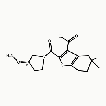 CC1(C)CCc2sc(C(=O)N3CC[C@@H](ON)C3)c(C(=O)O)c2C1